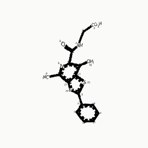 N#Cc1nc(C(=O)NCC(=O)O)c(O)c2sc(-c3ccccc3)nc12